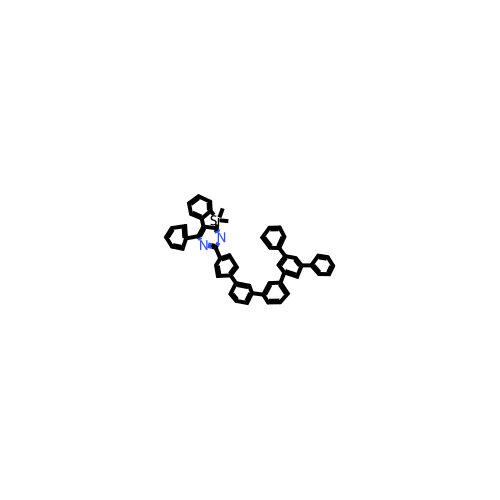 C[Si]1(C)c2ccccc2-c2c(-c3ccccc3)nc(-c3ccc(-c4cccc(-c5cccc(-c6cc(-c7ccccc7)cc(-c7ccccc7)c6)c5)c4)cc3)nc21